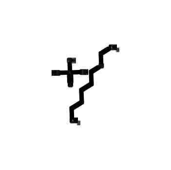 CCCCCCOCC.O=P(O)(O)O